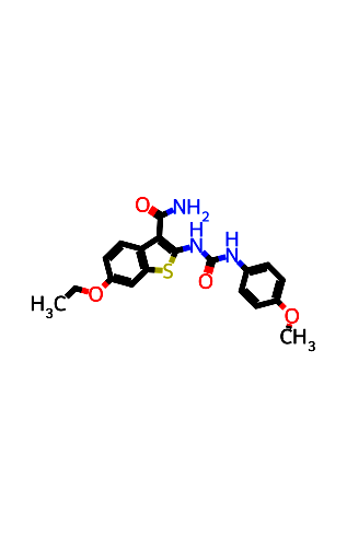 CCOc1ccc2c(C(N)=O)c(NC(=O)Nc3ccc(OC)cc3)sc2c1